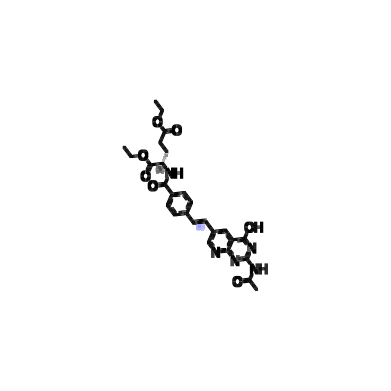 CCOC(=O)CC[C@H](NC(=O)c1ccc(/C=C/c2cnc3nc(NC(C)=O)nc(O)c3c2)cc1)C(=O)OCC